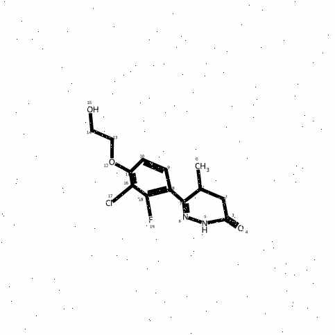 CC1CC(=O)NN=C1c1ccc(OCCO)c(Cl)c1F